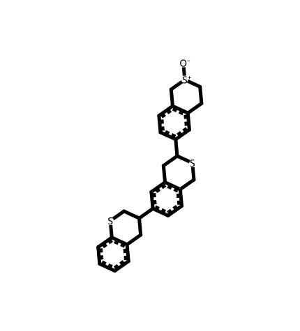 [O-][S+]1CCc2cc(C3Cc4cc(C5CSc6ccccc6C5)ccc4CS3)ccc2C1